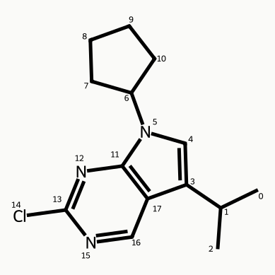 CC(C)c1cn(C2CCCC2)c2nc(Cl)ncc12